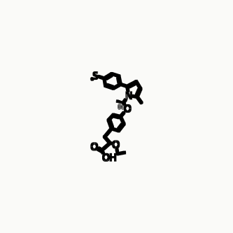 CCOC(Cc1ccc(O[C@@H](C)n2c(C)ccc2-c2ccc(SC)cc2)cc1)C(=O)O